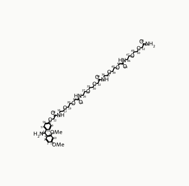 COc1ccc(C(N)c2ccc(OCC(=O)NCCOCCOCC(=O)NCCOCCOCC(=O)NCCOCCOCC(=O)NCCOCCOCC(N)=O)cc2)c(OC)c1